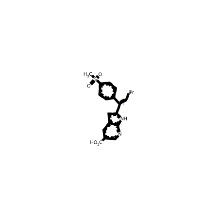 CC(C)/C=C(\c1ccc(S(C)(=O)=O)cc1)c1cc2cc(C(=O)O)cnc2[nH]1